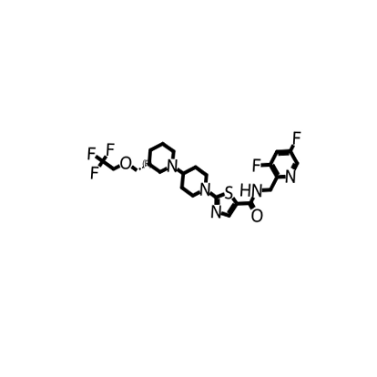 O=C(NCc1ncc(F)cc1F)c1cnc(N2CCC(N3CCC[C@@H](COCC(F)(F)F)C3)CC2)s1